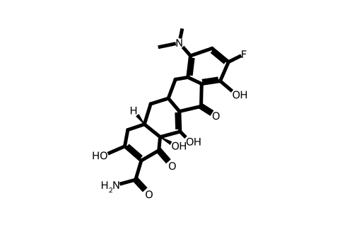 CN(C)c1cc(F)c(O)c2c1CC1C[C@H]3CC(O)=C(C(N)=O)C(=O)[C@@]3(O)C(O)=C1C2=O